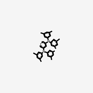 Cc1cc(C)cc(N(c2cc(C)cc(C)c2)c2cccc(N(c3cc(C)cc(C)c3)c3cc(C)cc(C)c3)c2)c1